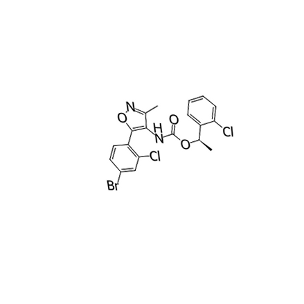 Cc1noc(-c2ccc(Br)cc2Cl)c1NC(=O)O[C@H](C)c1ccccc1Cl